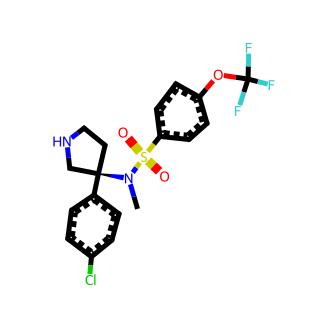 CN([C@]1(c2ccc(Cl)cc2)CCNC1)S(=O)(=O)c1ccc(OC(F)(F)F)cc1